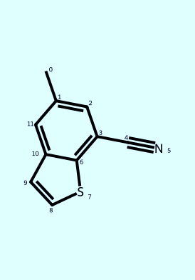 Cc1cc(C#N)c2sccc2c1